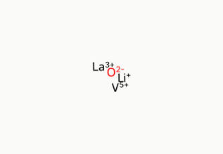 [La+3].[Li+].[O-2].[V+5]